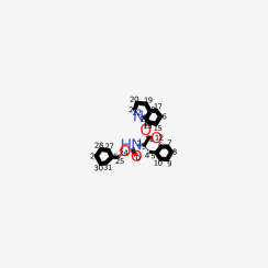 O=C(N[C@@H](Cc1ccccc1)C(=O)Oc1cccc2cccnc12)OCc1ccccc1